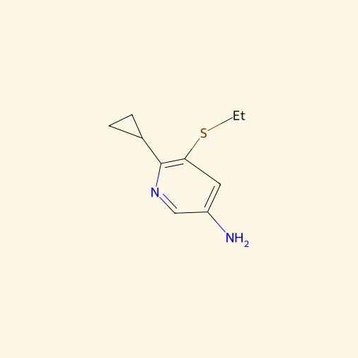 CCSc1cc(N)cnc1C1CC1